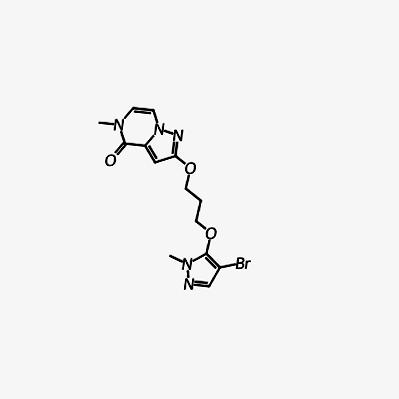 Cn1ncc(Br)c1OCCCOc1cc2c(=O)n(C)ccn2n1